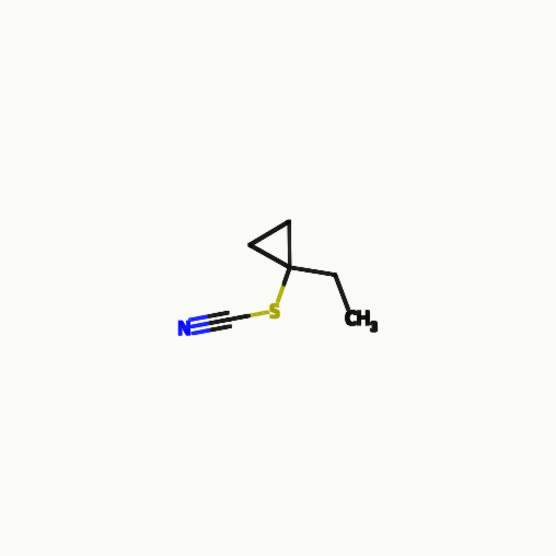 CCC1(SC#N)CC1